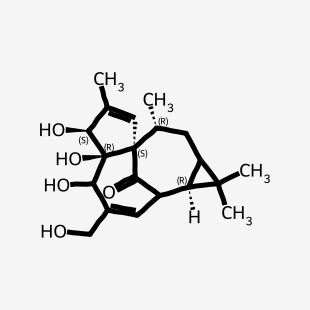 CC1=C[C@]23C(=O)C(C=C(CO)C(O)[C@]2(O)[C@H]1O)[C@H]1C(C[C@H]3C)C1(C)C